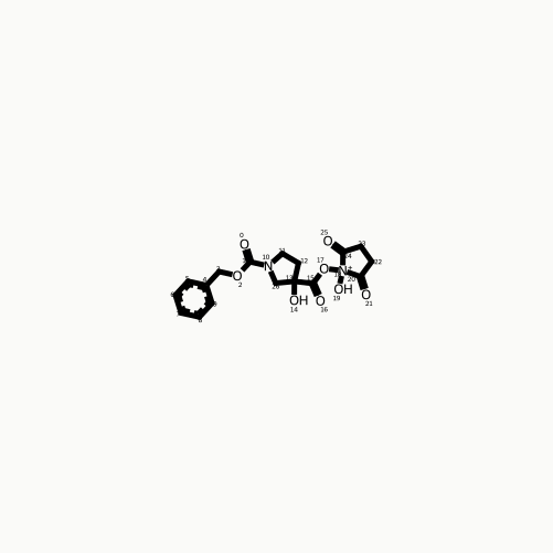 O=C(OCc1ccccc1)N1CCC(O)(C(=O)O[N+]2(O)C(=O)CCC2=O)C1